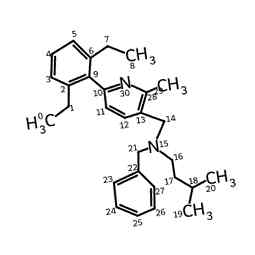 CCc1cccc(CC)c1-c1ccc(CN(CCC(C)C)Cc2ccccc2)c(C)n1